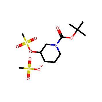 CC(C)(C)OC(=O)N1CC[C@H](OS(C)(=O)=O)C(OS(C)(=O)=O)C1